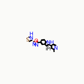 Cc1cc(-c2[nH]c3ccc(-c4nnc([C@@H]5CSCN5)o4)cc3c2C(C)C)ccn1